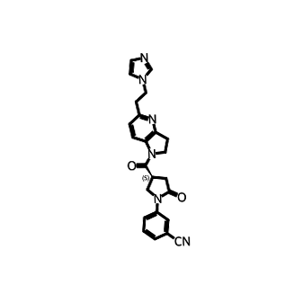 N#Cc1cccc(N2C[C@@H](C(=O)N3CCc4nc(CCn5ccnc5)ccc43)CC2=O)c1